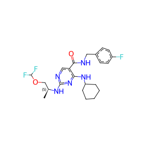 C[C@@H](COC(F)F)Nc1ncc(C(=O)NCc2ccc(F)cc2)c(NC2CCCCC2)n1